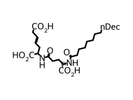 CCCCCCCCCCCCCCCCCC(=O)N[C@H](CCC(=O)NC(CC=CCC(=O)O)C(=O)O)C(=O)O